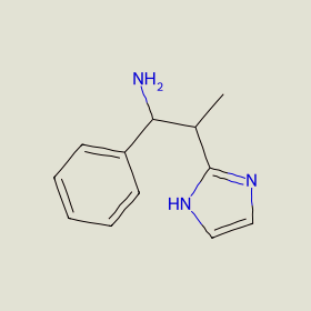 CC(c1ncc[nH]1)C(N)c1ccccc1